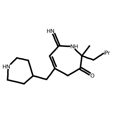 CC(C)CC1(C)NC(=N)C=C(CC2CCNCC2)CC1=O